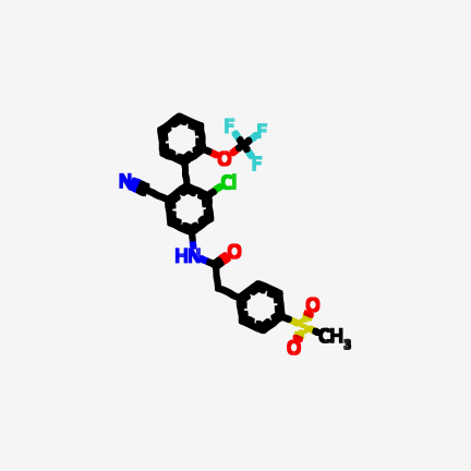 CS(=O)(=O)c1ccc(CC(=O)Nc2cc(Cl)c(-c3ccccc3OC(F)(F)F)c(C#N)c2)cc1